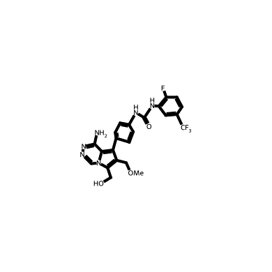 COCc1c(-c2ccc(NC(=O)Nc3cc(C(F)(F)F)ccc3F)cc2)c2c(N)nncn2c1CO